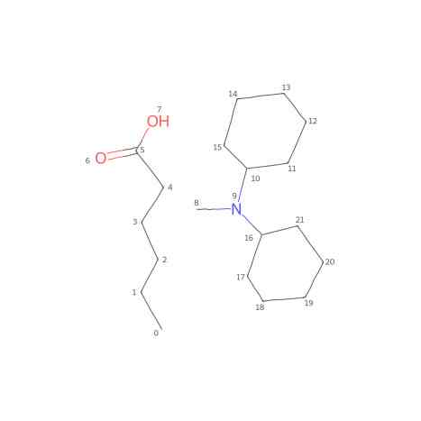 CCCCCC(=O)O.CN(C1CCCCC1)C1CCCCC1